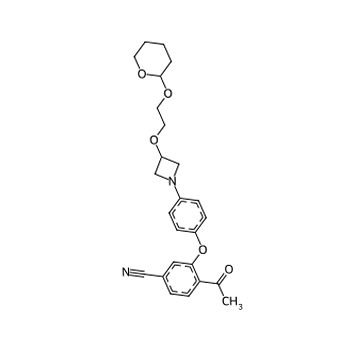 CC(=O)c1ccc(C#N)cc1Oc1ccc(N2CC(OCCOC3CCCCO3)C2)cc1